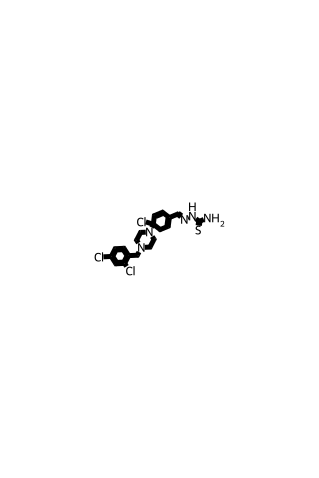 NC(=S)NN=CC1=CCC(Cl)(N2CCN(Cc3ccc(Cl)cc3Cl)CC2)C=C1